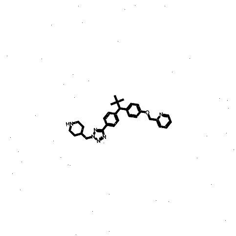 CC(C)(C)C(c1ccc(OCc2ccccn2)cc1)c1ccc(-c2nnn(CC3CCNCC3)n2)cc1